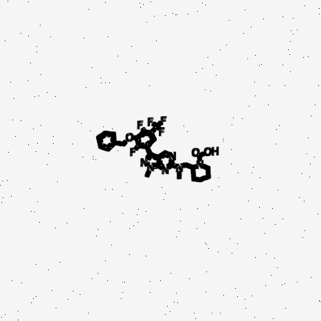 CN(CC1CCCCN1C(=O)O)c1ncc2c(-c3cc(C(F)(F)F)c(F)c(OCc4ccccc4)c3F)nn(C)c2n1